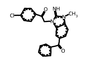 Cn1c(=N)n(CC(=O)c2ccc(Cl)cc2)c2cc(C(=O)c3ccccc3)ccc21